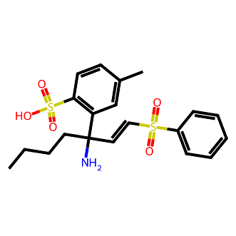 CCCCC(N)(C=CS(=O)(=O)c1ccccc1)c1cc(C)ccc1S(=O)(=O)O